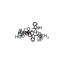 CC(C)(N)C(=O)N[C@H](Cc1c[nH]c2ccccc12)C(=O)C1C(C(=O)NS(C)(=O)=O)c2ccccc2C12CCNCC2.O=C(O)C(F)(F)F